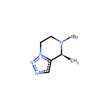 C[C@H]1c2cnnn2CCN1C(C)(C)C